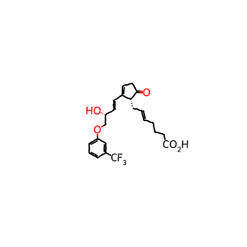 O=C(O)CCCC=CC[C@H]1C(=O)CC=C1C=C[C@@H](O)COc1cccc(C(F)(F)F)c1